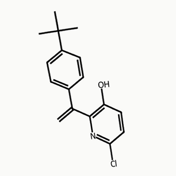 C=C(c1ccc(C(C)(C)C)cc1)c1nc(Cl)ccc1O